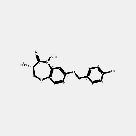 CN1C(=O)[C@@H](N)COc2ccc(OCc3ccc(F)cc3)cc21